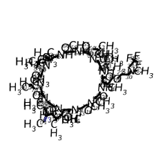 C/C=C/C[C@@H](C)[C@@H](O)[C@H]1C(=O)N[C@@H](CC)C(=O)N(C)[C@H](C)C(=O)N[C@@H]([C@H](C)COCCN(C)CC(F)(F)F)C(=O)N[C@@H](C(C)C)C(=O)N(C)[C@@H](CC(C)C)C(=O)N[C@@H](C)C(=O)N[C@H](C)C(=O)N(C)[C@@H](CC(C)C)C(=O)N(C)[C@@H](CC(C)C)C(=O)N(C)[C@@H](C(C)C)C(=O)N1C